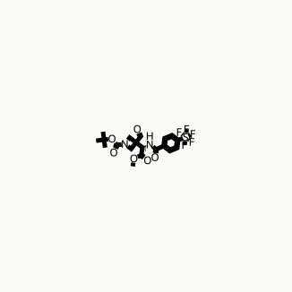 COC(=O)[C@@H](NC(=O)c1ccc(S(F)(F)(F)(F)F)cc1)C1(C=O)CN(C(=O)OC(C)(C)C)C1